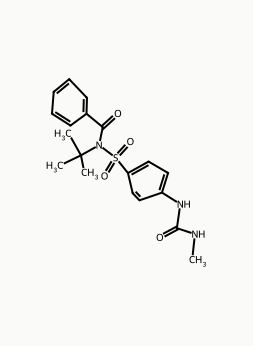 CNC(=O)Nc1ccc(S(=O)(=O)N(C(=O)c2ccccc2)C(C)(C)C)cc1